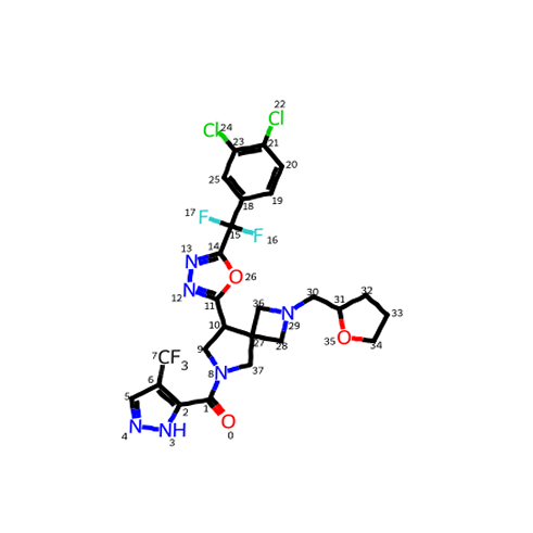 O=C(c1[nH]ncc1C(F)(F)F)N1CC(c2nnc(C(F)(F)c3ccc(Cl)c(Cl)c3)o2)C2(CN(CC3CCCO3)C2)C1